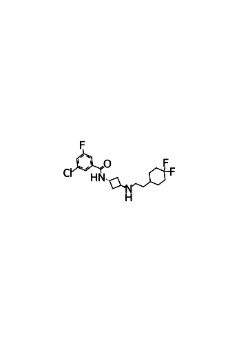 O=C(N[C@H]1C[C@H](NCCC2CCC(F)(F)CC2)C1)c1cc(F)cc(Cl)c1